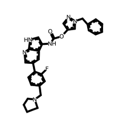 O=C(Nc1c[nH]c2ncc(-c3ccc(CN4CCCC4)cc3F)cc12)Oc1cnn(Cc2ccccc2)c1